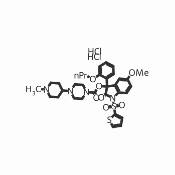 CCCOc1ccccc1C1(OC(=O)N2CCN(C3CCN(C)CC3)CC2)C(=O)N(S(=O)(=O)c2cccs2)c2ccc(OC)cc21.Cl.Cl